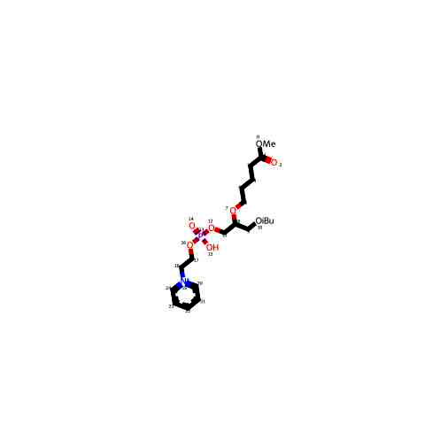 COC(=O)CCCCOC(COCC(C)C)COP(=O)(O)OCC[n+]1ccccc1